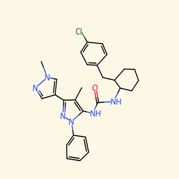 Cc1c(-c2cnn(C)c2)nn(-c2ccccc2)c1NC(=O)NC1CCCCC1Cc1ccc(Cl)cc1